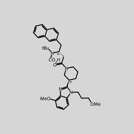 COCCCn1c([C@@H]2CCCN(C(=O)C[C@@H](Cc3ccc4ccccc4c3)N(C(=O)O)C(C)(C)C)C2)nc2c(OC)cccc21